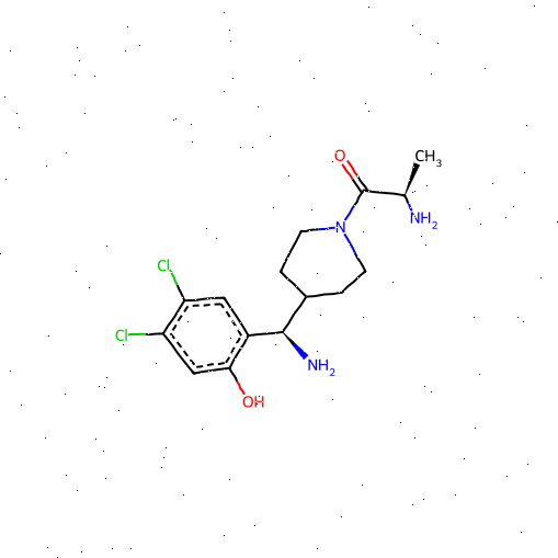 C[C@@H](N)C(=O)N1CCC([C@@H](N)c2cc(Cl)c(Cl)cc2O)CC1